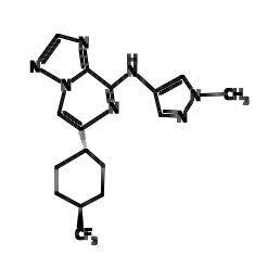 Cn1cc(Nc2nc([C@H]3CC[C@H](C(F)(F)F)CC3)cn3ncnc23)cn1